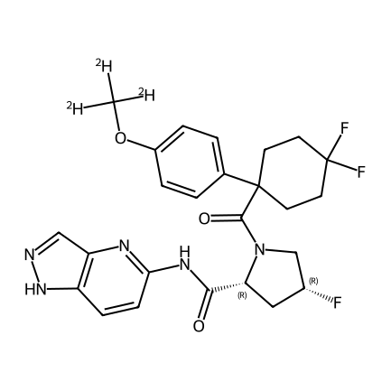 [2H]C([2H])([2H])Oc1ccc(C2(C(=O)N3C[C@H](F)C[C@@H]3C(=O)Nc3ccc4[nH]ncc4n3)CCC(F)(F)CC2)cc1